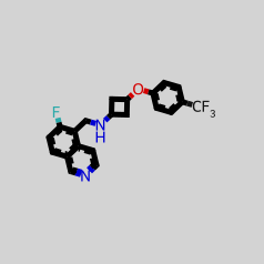 Fc1ccc2cnccc2c1CNC1CC(Oc2ccc(C(F)(F)F)cc2)C1